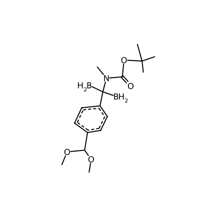 BC(B)(c1ccc(C(OC)OC)cc1)N(C)C(=O)OC(C)(C)C